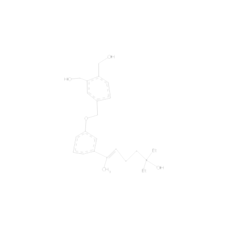 CCC(O)(CC)CCC=C(C)c1cccc(OCc2ccc(CO)c(CO)c2)c1